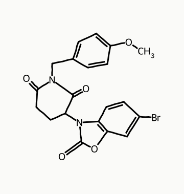 COc1ccc(CN2C(=O)CCC(n3c(=O)oc4cc(Br)ccc43)C2=O)cc1